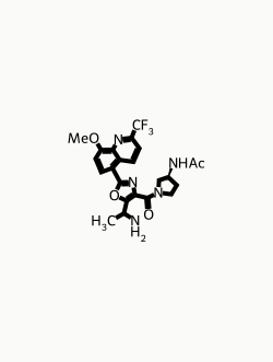 COc1ccc(-c2nc(C(=O)N3CC[C@H](NC(C)=O)C3)c(C(C)N)o2)c2ccc(C(F)(F)F)nc12